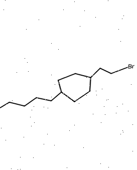 CCCCCC1CCC(CCBr)CC1